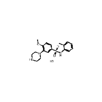 COc1ccc(S(=O)(=O)Nc2ccccc2C)cc1N1CCNCC1.Cl